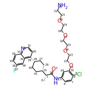 C[C@@H](C(=O)Nc1ccc(Cl)c(OCCOCCOCCOCCN)c1)[C@H]1CC[C@@H](c2ccnc3ccc(F)cc32)CC1